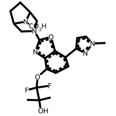 Cn1ccc(-c2ccc(OC(F)(F)C(C)(C)O)c3nc(N4CC5CCC(C4)N5C(=O)O)oc23)n1